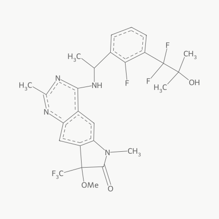 COC1(C(F)(F)F)C(=O)N(C)c2cc3c(NC(C)c4cccc(C(F)(F)C(C)(C)O)c4F)nc(C)nc3cc21